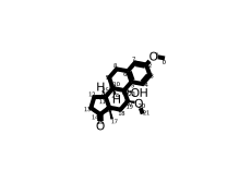 COc1ccc2c(c1)CC[C@H]1[C@@H]3CCC(=O)[C@@]3(C)C[C@H](OC)[C@]21O